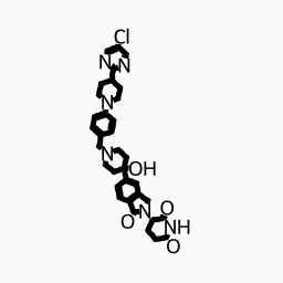 O=C1CCC(N2Cc3cc(C4(O)CCN(Cc5ccc(N6CCC(c7ncc(Cl)cn7)CC6)cc5)CC4)ccc3C2=O)C(=O)N1